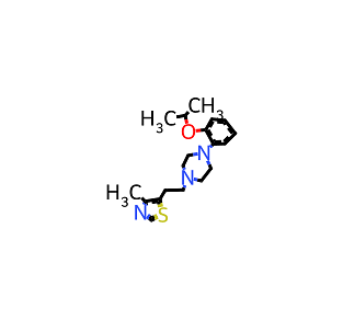 Cc1ncsc1CCN1CCN(c2ccccc2OC(C)C)CC1